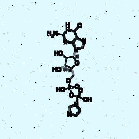 Nc1nc2c(ncn2[C@@H]2O[C@H](COP(=O)(O)OP(=O)(O)n3ccnc3)[C@H](O)C2O)c(=O)[nH]1